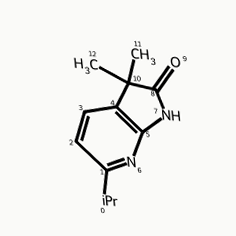 CC(C)c1ccc2c(n1)NC(=O)C2(C)C